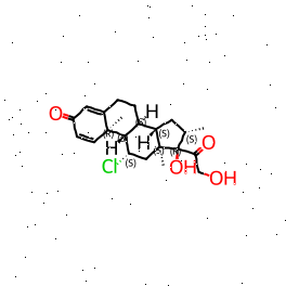 C[C@H]1C[C@H]2[C@@H]3CCC4=CC(=O)C=C[C@]4(C)[C@H]3[C@@H](Cl)C[C@]2(C)[C@@]1(O)C(=O)CO